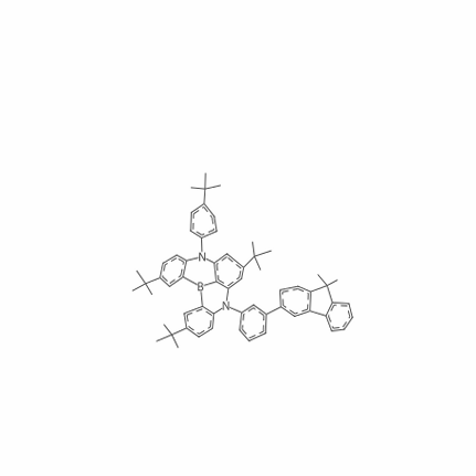 CC(C)(C)c1ccc(N2c3ccc(C(C)(C)C)cc3B3c4cc(C(C)(C)C)ccc4N(c4cccc(-c5ccc6c(c5)-c5ccccc5C6(C)C)c4)c4cc(C(C)(C)C)cc2c43)cc1